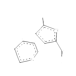 Cc1ccc(CCl)[nH]1.c1ccncc1